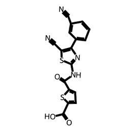 N#Cc1cccc(-c2nc(NC(=O)c3ccc(C(=O)O)s3)sc2C#N)c1